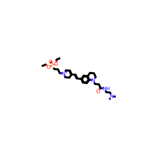 CCOP(=O)(CCC[N+]1=CC=C(C=Cc2ccc3c(c2)CCCN3CCC(=O)NCCN(C)C)CC1)OCC